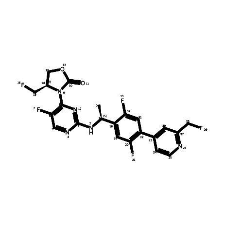 C[C@H](Nc1ncc(F)c(N2C(=O)OC[C@@H]2CF)n1)c1cc(F)c(-c2ccnc(CF)c2)cc1F